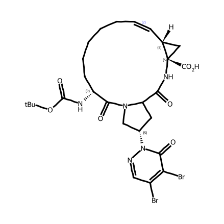 CC(C)(C)OC(=O)N[C@@H]1CCCCC/C=C\[C@@H]2C[C@]2(C(=O)O)NC(=O)C2C[C@H](n3ncc(Br)c(Br)c3=O)CN2C1=O